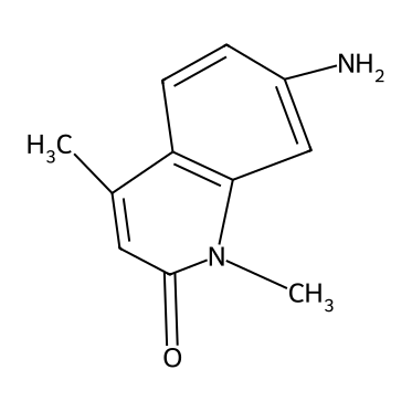 Cc1cc(=O)n(C)c2cc(N)ccc12